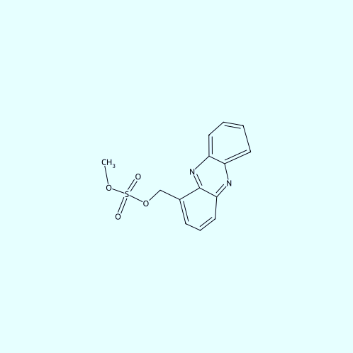 COS(=O)(=O)OCc1cccc2nc3ccccc3nc12